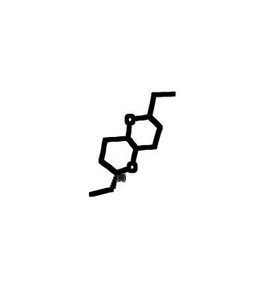 CCC1CCC2O[C@H](CC)CCC2O1